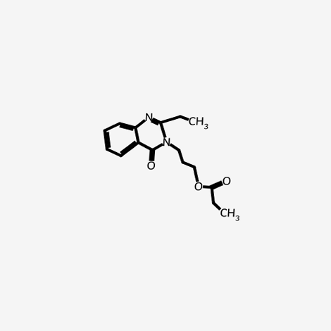 CCC(=O)OCCCn1c(CC)nc2ccccc2c1=O